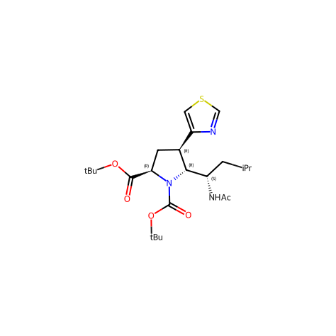 CC(=O)N[C@@H](CC(C)C)[C@H]1[C@H](c2cscn2)C[C@H](C(=O)OC(C)(C)C)N1C(=O)OC(C)(C)C